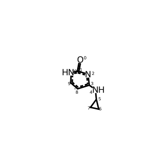 O=c1nc(NC2CC2)[c]c[nH]1